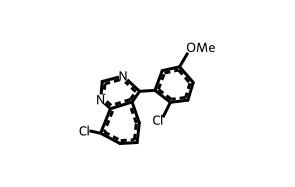 COc1ccc(Cl)c(-c2ncnc3c(Cl)cccc23)c1